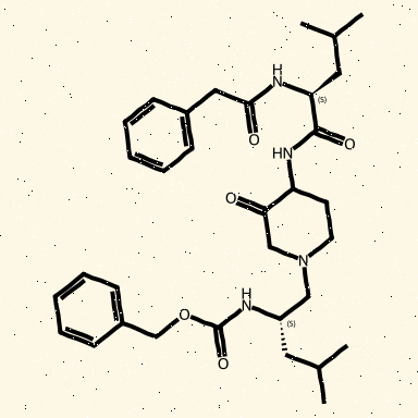 CC(C)C[C@@H](CN1CCC(NC(=O)[C@H](CC(C)C)NC(=O)Cc2ccccc2)C(=O)C1)NC(=O)OCc1ccccc1